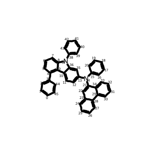 c1ccc(-c2cccc3c2c2ccc(N(c4ccccc4)c4cc5ccccc5c5ccccc45)cc2n3-c2ccccc2)cc1